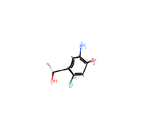 C[C@@H](O)c1cc(N)c(Br)cc1Cl